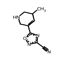 CC1C=C(c2nc(C#N)no2)CNC1